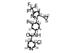 O=C(Nc1ccc(-n2nc(C(F)(F)F)cc2C2CC2)c(F)c1)c1ccncc1Cl